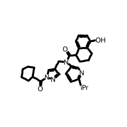 CC(C)c1ccc(N(Cc2cnn(C(=O)C3CCCCC3)c2)C(=O)C2CCCc3c(O)cccc32)cn1